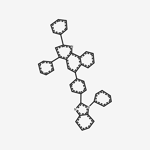 c1ccc(-c2cc(-c3ccccc3)c3cc(-c4ccc(-c5nc6ccccc6n5-c5ccccc5)cc4)c4ccccc4c3n2)cc1